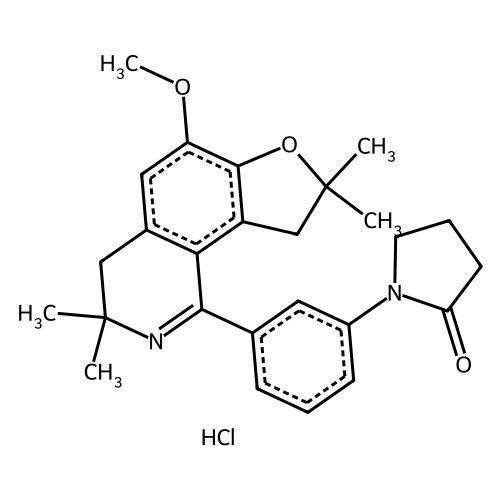 COc1cc2c(c3c1OC(C)(C)C3)C(c1cccc(N3CCCC3=O)c1)=NC(C)(C)C2.Cl